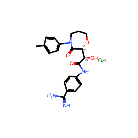 Cc1ccc(N2CCCO[C@H]([C@@H](O)C(=O)Nc3ccc(C(=N)N)cc3)C2=O)cc1.Cl